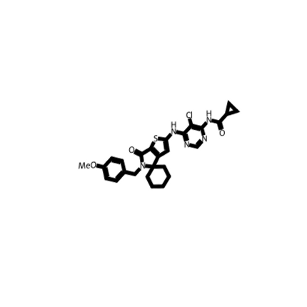 COc1ccc(CN2C(=O)c3sc(Nc4ncnc(NC(=O)C5CC5)c4Cl)cc3C23CCCCC3)cc1